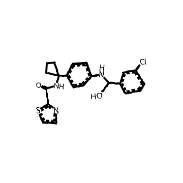 O=C(NC1(c2ccc(NC(O)c3cccc(Cl)c3)cc2)CCC1)c1nccs1